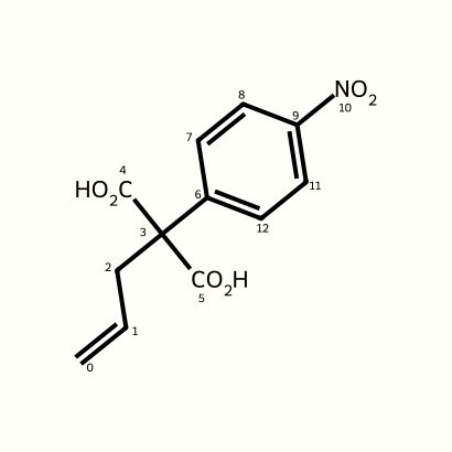 C=CCC(C(=O)O)(C(=O)O)c1ccc([N+](=O)[O-])cc1